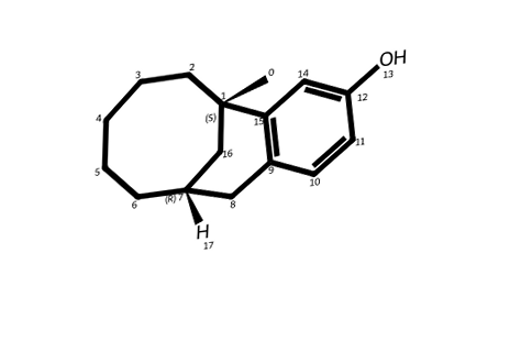 C[C@@]12CCCCC[C@@H](Cc3ccc(O)cc31)C2